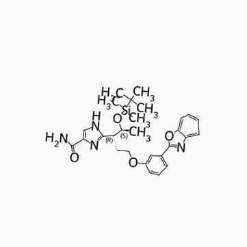 C[C@H](O[Si](C)(C)C(C)(C)C)[C@H](CCOc1cccc(-c2nc3ccccc3o2)c1)c1nc(C(N)=O)c[nH]1